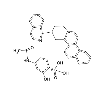 CC(=O)Nc1ccc([As](=O)(O)O)c(O)c1.c1ccc2c(C3CCc4ccc5c(ccc6ccccc65)c4C3)nccc2c1